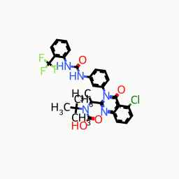 CC(c1nc2cccc(Cl)c2c(=O)n1-c1cccc(NC(=O)Nc2ccccc2C(F)(F)F)c1)N(C(=O)O)C(C)(C)C